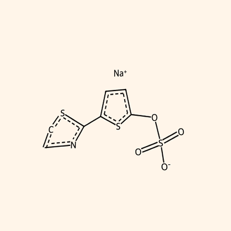 O=S(=O)([O-])Oc1ccc(-c2nccs2)s1.[Na+]